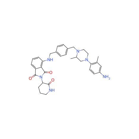 Cc1cc(N)ccc1N1CCN(Cc2ccc(CNc3cccc4c3C(=O)N(C3CCCNC3=O)C4=O)cc2)C(C)C1